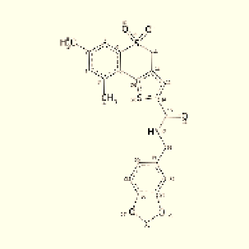 Cc1cc(C)c2c(c1)S(=O)(=O)Cc1cc(C(=O)NCc3ccc4c(c3)OCO4)sc1-2